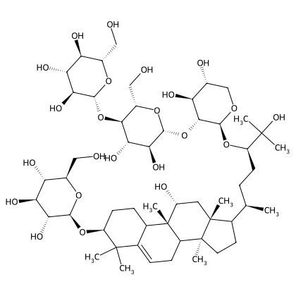 C[C@H](CC[C@@H](O[C@@H]1OC[C@@H](O)[C@H](O)[C@H]1O[C@H]1O[C@@H](CO)[C@H](O[C@H]2O[C@@H](CO)[C@H](O)[C@@H](O)[C@@H]2O)[C@@H](O)[C@@H]1O)C(C)(C)O)C1CC[C@@]2(C)C3CC=C4C(CC[C@H](O[C@@H]5O[C@H](CO)[C@@H](O)[C@H](O)[C@H]5O)C4(C)C)[C@]3(C)[C@H](O)C[C@]12C